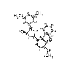 COc1ccc(C2CC(=O)N(c3cc(C)cc(C)c3)C2)c2c1oc1ccccc12